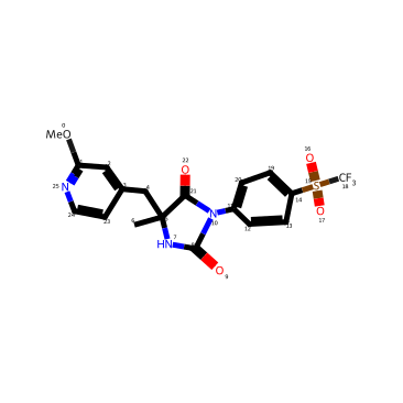 COc1cc(CC2(C)NC(=O)N(c3ccc(S(=O)(=O)C(F)(F)F)cc3)C2=O)ccn1